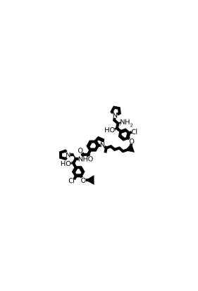 CC(CCCCC1CC1Oc1ccc([C@@H](O)[C@H](N)CN2CCCC2)cc1Cl)n1ccc2ccc(C(=O)C(=O)N[C@H](CN3CCCC3)[C@H](O)c3ccc(OC4CC4)c(Cl)c3)cc21